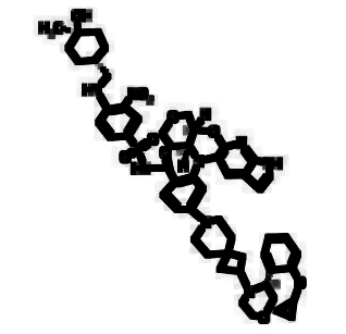 C[C@]1(O)CC[C@H](CNc2ccc(S(=O)(=O)NC(=O)c3ccc(N4CCC5(CC4)CC(N4CCOC[C@H]4c4ccccc4OC4CC4)C5)cc3N3c4cc5cc[nH]c5nc4O[C@H]4COCC[C@@H]43)cc2[N+](=O)[O-])CC1